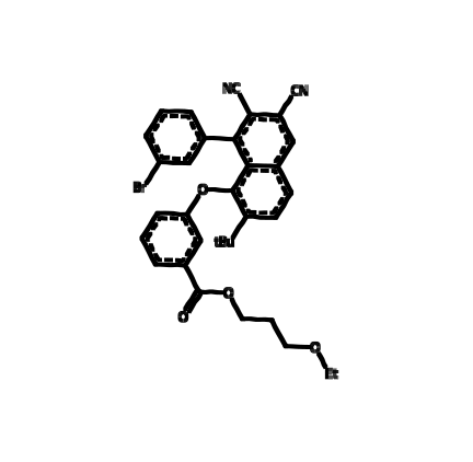 CCOCCCOC(=O)c1cccc(Oc2c(C(C)(C)C)ccc3cc(C#N)c(C#N)c(-c4cccc(Br)c4)c23)c1